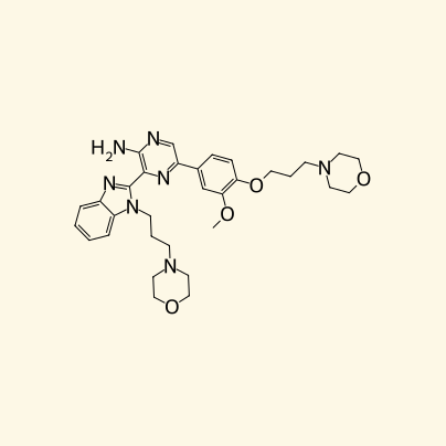 COc1cc(-c2cnc(N)c(-c3nc4ccccc4n3CCCN3CCOCC3)n2)ccc1OCCCN1CCOCC1